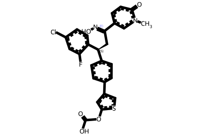 Cn1cc(/C(C[C@@H](c2ccc(-c3csc(OC(=O)O)c3)cc2)c2ccc(Cl)cc2F)=N/O)ccc1=O